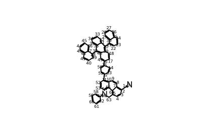 N#Cc1ccc2c3c1ccc1c(-c4ccc(-c5ccc6c(-c7cccc8ccccc78)c7ccccc7c(-c7cccc8ccccc78)c6c5)cc4)ccc(c13)N(c1ccccc1)C2